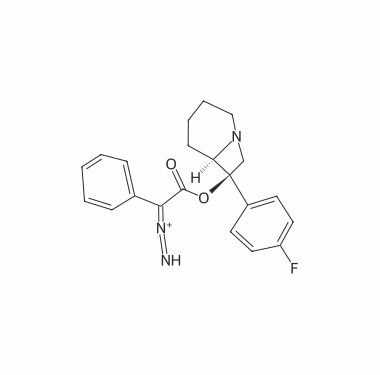 N=[N+]=C(C(=O)O[C@]1(c2ccc(F)cc2)CN2CCCC[C@@H]21)c1ccccc1